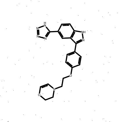 C1=CN(CCOc2ccc(-c3n[nH]c4ccc(-c5nnn[nH]5)cc34)cc2)CCO1